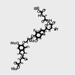 COc1cc2c(c(F)c1OCCCOc1c(OC)cc3sc(C(=O)C[C@H](C(=O)ONC(=O)CNC(=O)OC(C)(C)C)C(C)C)cc3c1F)CN(C(=O)CCC(=O)OC(C)(C)C)C2